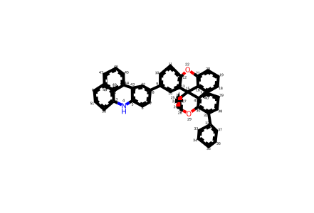 c1ccc(Nc2ccc(-c3ccc4c(c3)C3(c5ccccc5O4)c4ccccc4Oc4c(-c5ccccc5)cccc43)cc2-c2ccccc2)cc1